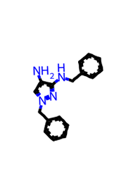 Nc1cn(Cc2ccccc2)nc1NCc1ccccc1